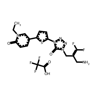 CCn1cc(-c2ccc(-n3nnn(CC(CN)=C(F)F)c3=O)s2)ccc1=O.O=C(O)C(F)(F)F